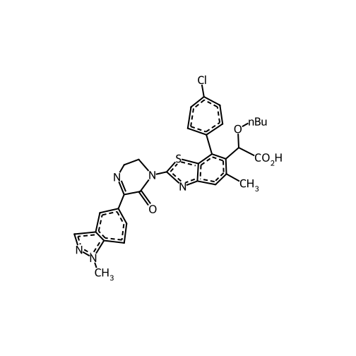 CCCCOC(C(=O)O)c1c(C)cc2nc(N3CCN=C(c4ccc5c(cnn5C)c4)C3=O)sc2c1-c1ccc(Cl)cc1